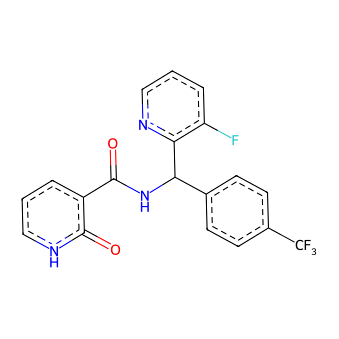 O=C(NC(c1ccc(C(F)(F)F)cc1)c1ncccc1F)c1ccc[nH]c1=O